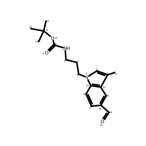 Cc1cn(CCCNC(=O)OC(C)(C)C)c2ccc(C=O)cc12